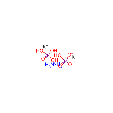 N.N.O=P(O)(O)O.O=P([O-])([O-])O.[K+].[K+]